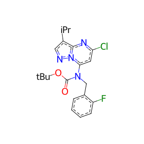 CC(C)c1cnn2c(N(Cc3ccccc3F)C(=O)OC(C)(C)C)cc(Cl)nc12